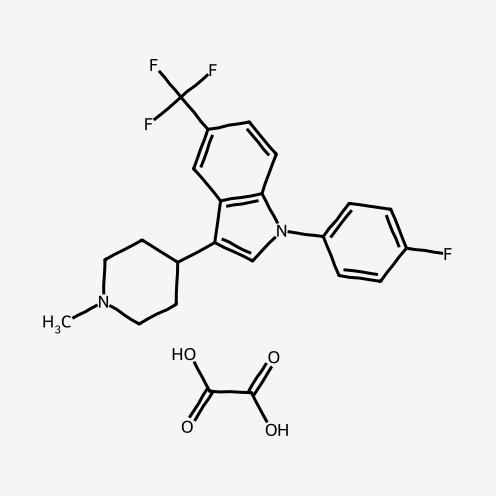 CN1CCC(c2cn(-c3ccc(F)cc3)c3ccc(C(F)(F)F)cc23)CC1.O=C(O)C(=O)O